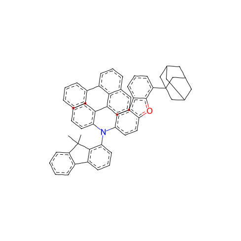 CC1(C)c2ccccc2-c2cccc(N(c3ccc4oc5c(C67CC8CC(CC(C8)C6)C7)cccc5c4c3)c3ccccc3-c3cccc4cccc(-c5ccccc5)c34)c21